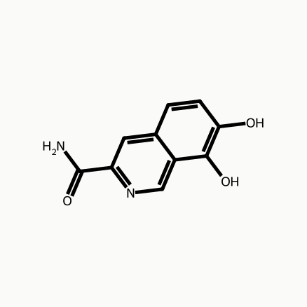 NC(=O)c1cc2ccc(O)c(O)c2cn1